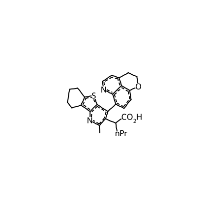 CCCC(C(=O)O)c1c(C)nc2c3c(sc2c1-c1ccc2c4c(ccnc14)CCO2)CCCC3